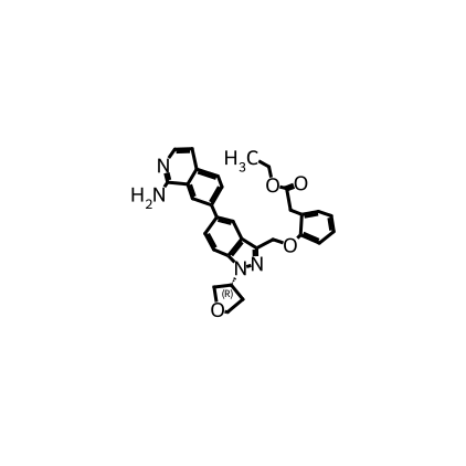 CCOC(=O)Cc1ccccc1OCc1nn([C@@H]2CCOC2)c2ccc(-c3ccc4ccnc(N)c4c3)cc12